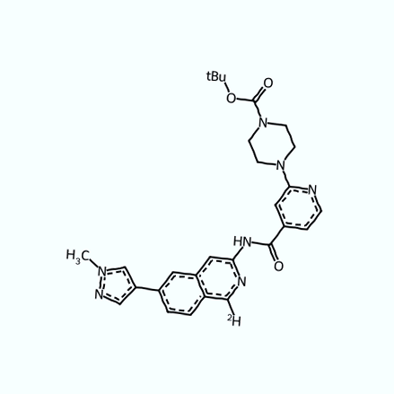 [2H]c1nc(NC(=O)c2ccnc(N3CCN(C(=O)OC(C)(C)C)CC3)c2)cc2cc(-c3cnn(C)c3)ccc12